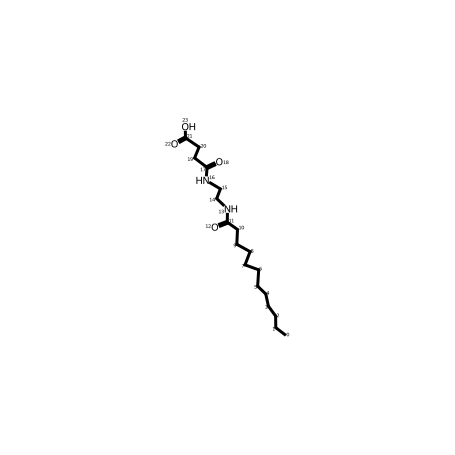 CCCCCCCCCCCC(=O)NCCNC(=O)CCC(=O)O